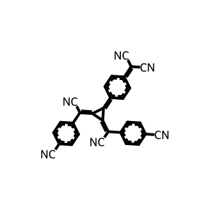 N#CC(C#N)=c1ccc(=C2C(=C(\C#N)c3ccc(C#N)cc3)/C2=C(\C#N)c2ccc(C#N)cc2)cc1